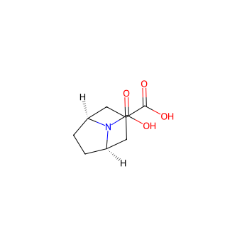 O=C(O)C1C[C@H]2CC[C@@H](C1)N2C(=O)O